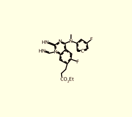 CCOC(=O)CCc1cc2c(cc1F)c(N(C)c1cccc(F)c1)nc(=N)n2C=N